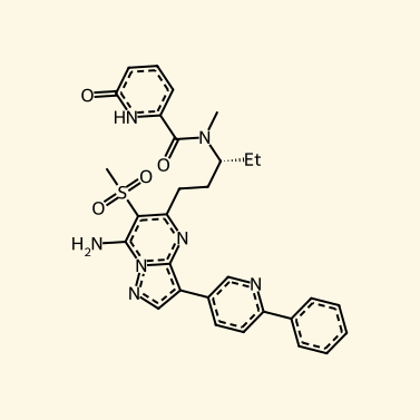 CC[C@H](CCc1nc2c(-c3ccc(-c4ccccc4)nc3)cnn2c(N)c1S(C)(=O)=O)N(C)C(=O)c1cccc(=O)[nH]1